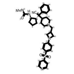 CNC(=O)N[C@@H]1CCC[C@H]1C(C#N)(c1ccccc1)C1CCN(CC2CN(c3ccc(S(=O)(=O)c4ccncc4)cc3)C2)CC1